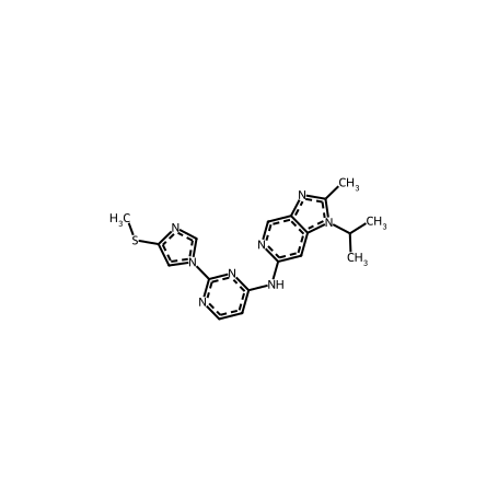 CSc1cn(-c2nccc(Nc3cc4c(cn3)nc(C)n4C(C)C)n2)cn1